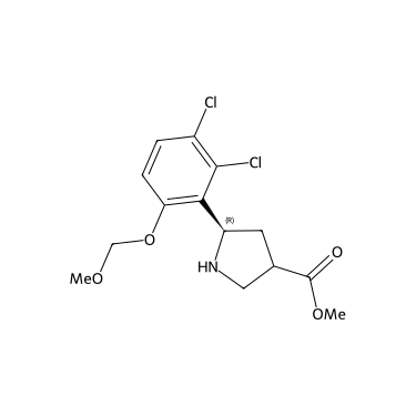 COCOc1ccc(Cl)c(Cl)c1[C@H]1CC(C(=O)OC)CN1